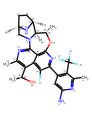 Cc1nc(N)cc(-c2nc3c4c(nc(C)c([C@H](C)O)c4c2F)N2C[C@H]4CC[C@H](N4)[C@H]2[C@H](C)O3)c1C(F)(F)F